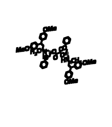 COc1ccc(C(C[C@@H](C)NC[C@@H](COc2ccccc2)OC(=O)C(=O)O[C@@H](CN[C@H](C)CC(c2ccc(OC)cc2)c2ccc(OC)cc2)COc2ccccc2)c2ccc(OC)cc2)cc1